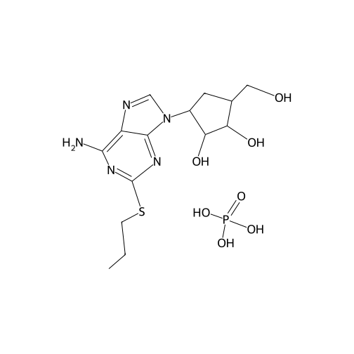 CCCSc1nc(N)c2ncn(C3CC(CO)C(O)C3O)c2n1.O=P(O)(O)O